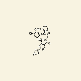 COc1ccc(CNc2nc(N3CC4CC4C3)ncc2C(=O)NCc2nc3ccccc3[nH]2)cc1Cl